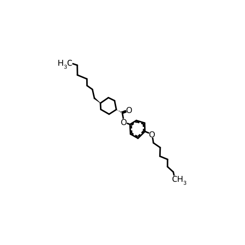 CCCCCCCOc1ccc(OC(=O)[C@H]2CC[C@H](CCCCCCC)CC2)cc1